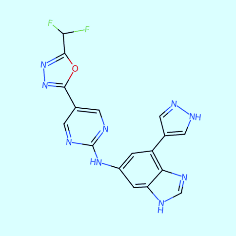 FC(F)c1nnc(-c2cnc(Nc3cc(-c4cn[nH]c4)c4nc[nH]c4c3)nc2)o1